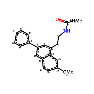 CNC(=O)NCCc1cc(-c2ccccc2)cc2ccc(OC)cc12